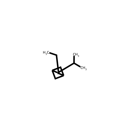 CCN1C2CC(C2)C1C(C)C